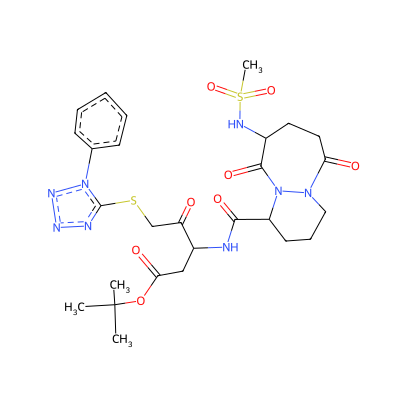 CC(C)(C)OC(=O)CC(NC(=O)C1CCCN2C(=O)CCC(NS(C)(=O)=O)C(=O)N12)C(=O)CSc1nnnn1-c1ccccc1